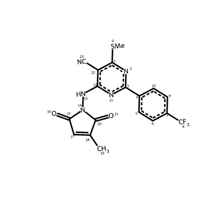 CSc1nc(-c2ccc(C(F)(F)F)cc2)nc(NN2C(=O)C=C(C)C2=O)c1C#N